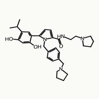 CC(C)c1cc(-c2ccc(C(=O)NCCN3CCCC3)n2Cc2ccc(CN3CCCC3)cc2)c(O)cc1O